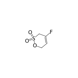 O=S1(=O)CC(F)=CCO1